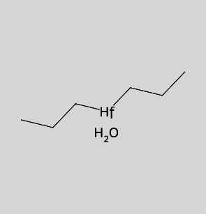 CC[CH2][Hf][CH2]CC.O